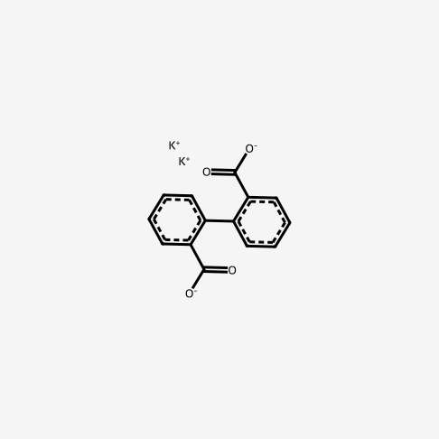 O=C([O-])c1ccccc1-c1ccccc1C(=O)[O-].[K+].[K+]